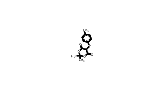 Cc1ccc([I+]C2C(=O)OC(C)(C)OC2=O)cc1